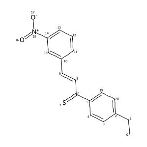 CCc1ccc(C(=S)C=Cc2cccc([N+](=O)[O-])c2)cc1